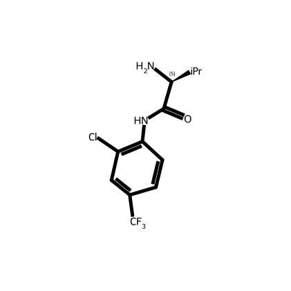 CC(C)[C@H](N)C(=O)Nc1ccc(C(F)(F)F)cc1Cl